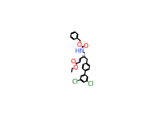 CCOC(=O)/C=C/[C@H](CNC(=O)OCc1ccccc1)Cc1ccc(-c2cc(Cl)cc(Cl)c2)cc1